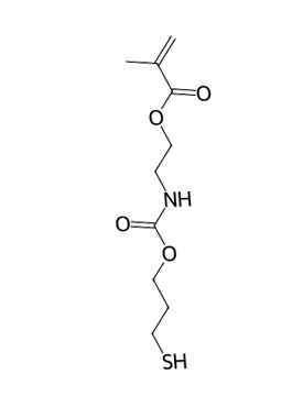 C=C(C)C(=O)OCCNC(=O)OCCCS